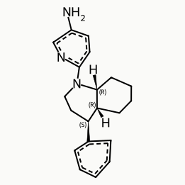 Nc1ccc(N2CC[C@H](c3ccccc3)[C@H]3CCCC[C@H]32)nc1